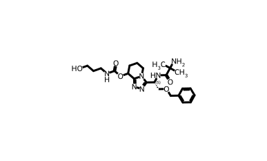 CC(C)(N)C(=O)N[C@H](COCc1ccccc1)c1nnc2n1CCCC2OC(=O)NCCCO